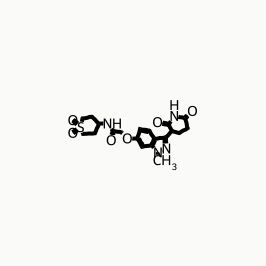 Cn1nc(C2CCC(=O)NC2=O)c2ccc(OCC(=O)NC3CCS(=O)(=O)CC3)cc21